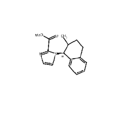 COC(=O)c1nccn1[C@@H]1c2ccccc2CCC1C